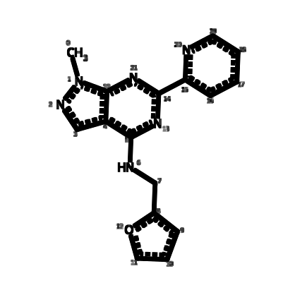 Cn1ncc2c(NCc3ccco3)nc(-c3ccccn3)nc21